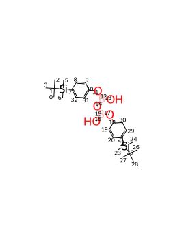 CC(C)(C)[Si](C)(C)c1ccc(OB(O)OB(O)Oc2ccc([Si](C)(C)C(C)(C)C)cc2)cc1